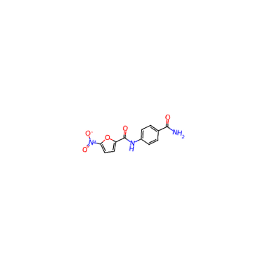 NC(=O)c1ccc(NC(=O)c2ccc([N+](=O)[O-])o2)cc1